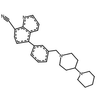 N#Cc1ccc(-c2cccc(CN3CCC(N4CCCCC4)CC3)c2)c2cccnc12